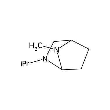 CC(C)N1CC2CCC1N2C